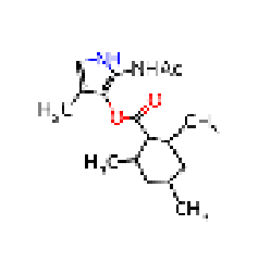 CC(=O)Nc1[nH]cc(C)c1OC(=O)C1C(C)CC(C)CC1C